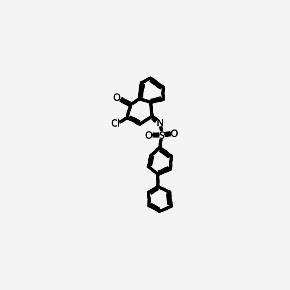 O=C1C(Cl)=CC(=NS(=O)(=O)c2ccc(-c3ccccc3)cc2)c2ccccc21